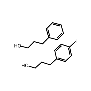 OCCCc1ccc(I)cc1.OCCCc1ccccc1